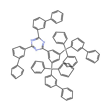 c1ccc(-c2cccc(-c3nc(-c4cccc(-c5ccccc5)c4)nc(-c4cc([Si](c5ccccc5)(c5ccccc5)c5cccc(-c6ccccc6)c5)cc([Si](c5ccccc5)(c5ccccc5)c5cccc(-c6ccccc6)c5)c4)n3)c2)cc1